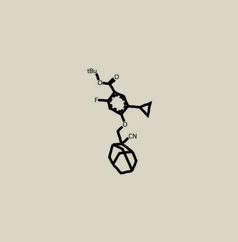 CC(C)(C)OC(=O)c1cc(C2CC2)c(OCC2(C#N)C3CC4CC(C3)CC2C4)cc1F